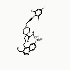 COc1ccc2ncc(CF)c(CCCC3(C(=O)NO)CCN(CC#Cc4c(F)cc(F)cc4F)CC3)c2c1